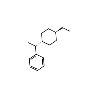 CC[C@H]1CC[C@H](C(C)c2ccccc2)CC1